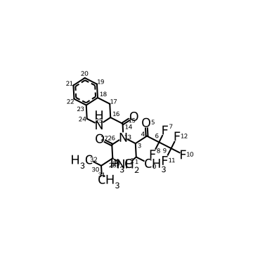 CC(C)C(C(=O)C(F)(F)C(F)(F)F)N(C(=O)C1Cc2ccccc2CN1)C(=O)[C@@H](N)C(C)C